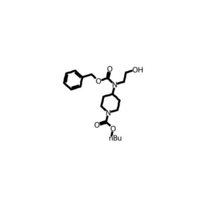 CCCCOC(=O)N1CCC(N(CCO)C(=O)OCc2ccccc2)CC1